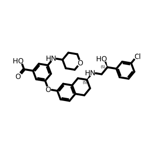 O=C(O)c1cc(NC2CCOCC2)cc(Oc2ccc3c(c2)C[C@@H](NC[C@@H](O)c2cccc(Cl)c2)CC3)c1